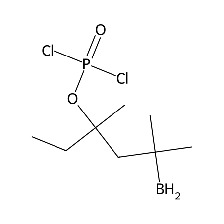 BC(C)(C)CC(C)(CC)OP(=O)(Cl)Cl